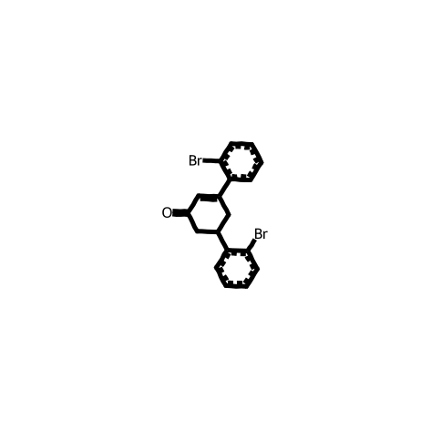 O=C1C=C(c2ccccc2Br)CC(c2ccccc2Br)C1